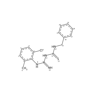 Cc1cccc(Cl)c1NC(=N)NC(=S)NCc1ccccc1